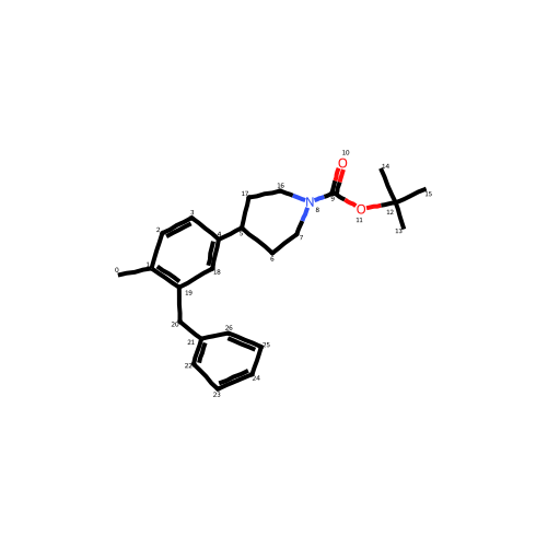 Cc1ccc(C2CCN(C(=O)OC(C)(C)C)CC2)cc1Cc1ccccc1